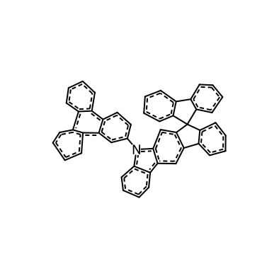 c1ccc2c(c1)-c1ccccc1C21c2ccccc2-c2cc3c4ccccc4n(-c4ccc5c6ccccc6c6ccccc6c5c4)c3cc21